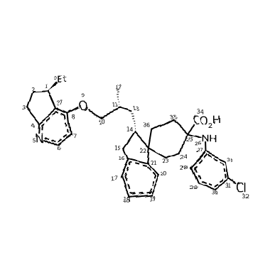 CC[C@@H]1CCc2nccc(OC[C@H](C)C[C@H]3Cc4ccccc4C34CCC(Nc3cccc(Cl)c3)(C(=O)O)CC4)c21